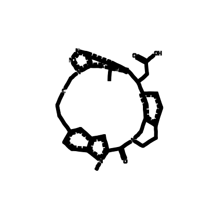 Cc1c2ccc3c1nnn3CCCCc1ccc3c(c1)cc(n3C)C(=O)N1CCc3ccc(cc3C1)C2CC(=O)O